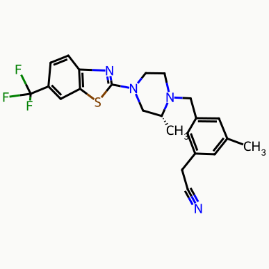 Cc1cc(CC#N)cc(CN2CCN(c3nc4ccc(C(F)(F)F)cc4s3)C[C@H]2C)c1